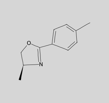 Cc1ccc(C2=N[C@@H](C)CO2)cc1